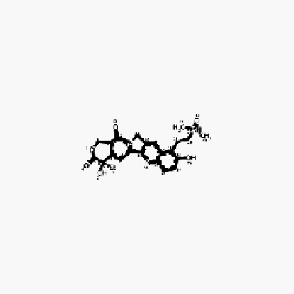 CC[C@@]1(O)C(=O)OCc2c1cc1n(c2=O)Cc2cc3c(CC[SH](C)(C)=O)c(O)ccc3nc2-1